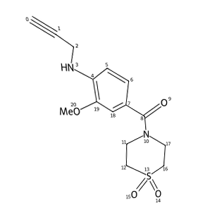 C#CCNc1ccc(C(=O)N2CCS(=O)(=O)CC2)cc1OC